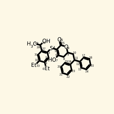 CCc1cc(SC2=C(O)CC(CC(c3ccccc3)c3ccccc3)OC2=O)c(C(C)O)cc1CC